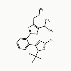 COCc1nc(-c2ccccc2-c2cc(C)nn2C(F)(F)F)oc1C(C)C